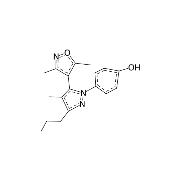 CCCc1nn(-c2ccc(O)cc2)c(-c2c(C)noc2C)c1C